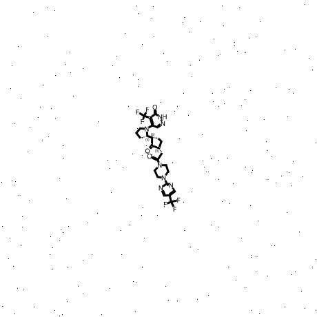 O=C1[C@@H](CC(=O)N2CCN(c3ncc(C(F)(F)F)cn3)CC2)CC[C@H]1[C@@H]1CCCN1c1cn[nH]c(=O)c1C(F)(F)F